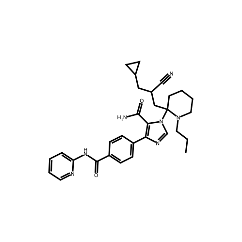 CCCN1CCCCC1(CC(C#N)CC1CC1)n1cnc(-c2ccc(C(=O)Nc3ccccn3)cc2)c1C(N)=O